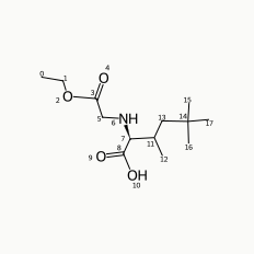 CCOC(=O)CN[C@H](C(=O)O)C(C)CC(C)(C)C